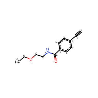 C#Cc1ccc(C(=O)NCCOCC#N)cc1